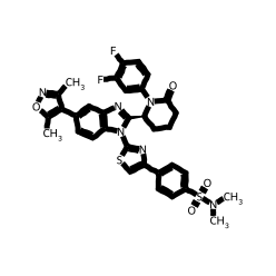 Cc1noc(C)c1-c1ccc2c(c1)nc([C@@H]1CCCC(=O)N1c1ccc(F)c(F)c1)n2-c1nc(-c2ccc(S(=O)(=O)N(C)C)cc2)cs1